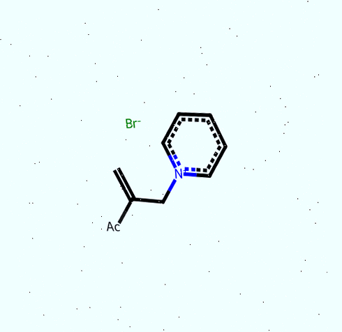 C=C(C[n+]1ccccc1)C(C)=O.[Br-]